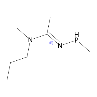 CCCN(C)/C(C)=N/PC